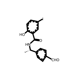 C[C@H](NC(=O)c1cc(I)ccc1O)c1ccc(C=O)cc1